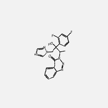 CC(n1nnc2ccccc2c1=O)C(O)(Cn1cncn1)c1ccc(F)cc1F